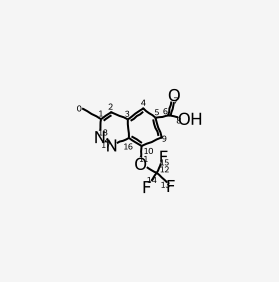 Cc1cc2cc(C(=O)O)cc(OC(F)(F)F)c2nn1